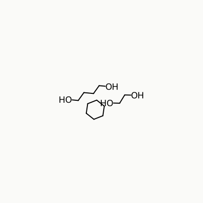 C1CCCCC1.OCCCCO.OCCO